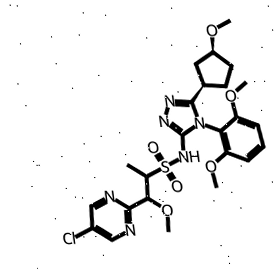 COc1cccc(OC)c1-n1c(NS(=O)(=O)C(C)C(OC)c2ncc(Cl)cn2)nnc1[C@@H]1CC[C@H](OC)C1